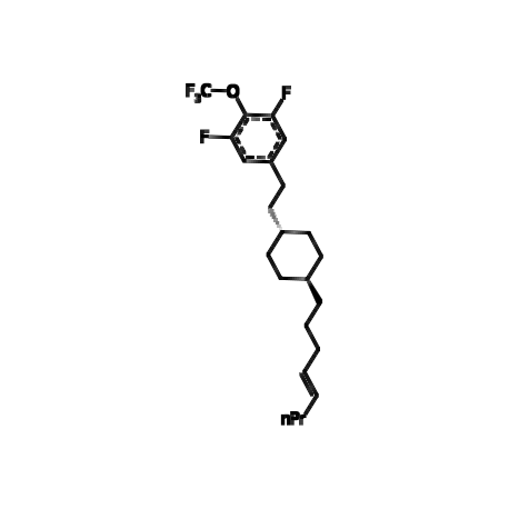 CCC/C=C/CCC[C@H]1CC[C@H](CCc2cc(F)c(OC(F)(F)F)c(F)c2)CC1